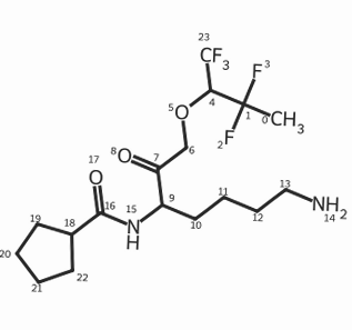 CC(F)(F)C(OCC(=O)C(CCCCN)NC(=O)C1CCCC1)C(F)(F)F